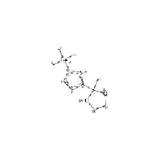 CC1(c2cc[c]([Ge]([CH3])([CH3])[CH3])s2)OCCO1